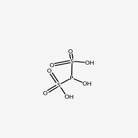 O=S(=O)(O)P(O)S(=O)(=O)O